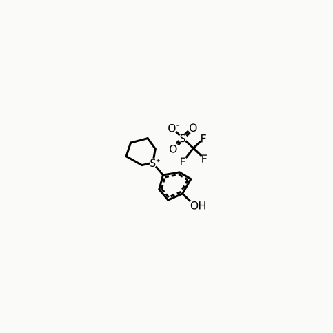 O=S(=O)([O-])C(F)(F)F.Oc1ccc([S+]2CCCCC2)cc1